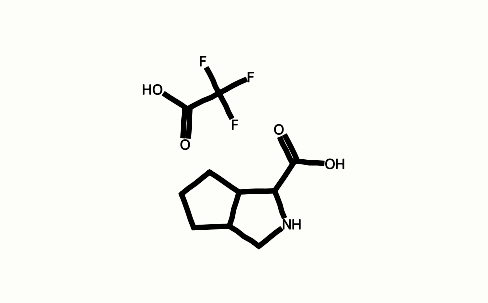 O=C(O)C(F)(F)F.O=C(O)C1NCC2CCCC21